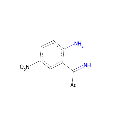 CC(=O)C(=N)c1cc([N+](=O)[O-])ccc1N